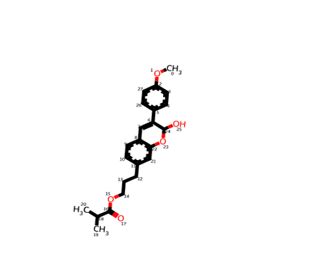 COc1ccc(C2=Cc3ccc(CCCOC(=O)C(C)C)cc3OC2O)cc1